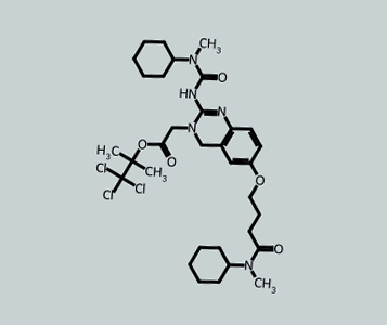 CN(C(=O)CCCOc1ccc2c(c1)CN(CC(=O)OC(C)(C)C(Cl)(Cl)Cl)C(NC(=O)N(C)C1CCCCC1)=N2)C1CCCCC1